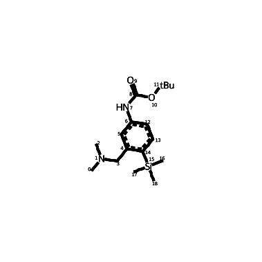 CN(C)Cc1cc(NC(=O)OC(C)(C)C)ccc1[Si](C)(C)C